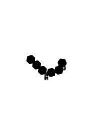 c1ccc(-c2ccc(-c3ccc(Nc4ccc(-c5ccc6oc7ccccc7c6c5)cc4)cc3)cc2)cc1